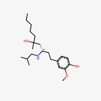 CCCCCC(C)(O)C[C@H](CCc1ccc(O)c(OC)c1)NCC(C)C